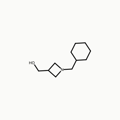 OCC1CN(CC2CCCCC2)C1